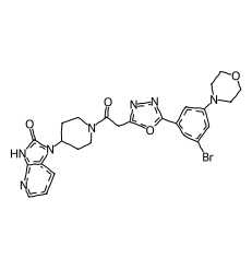 O=C(Cc1nnc(-c2cc(Br)cc(N3CCOCC3)c2)o1)N1CCC(n2c(=O)[nH]c3ncccc32)CC1